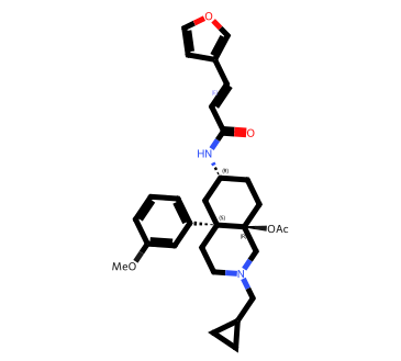 COc1cccc([C@@]23CCN(CC4CC4)C[C@@]2(OC(C)=O)CC[C@@H](NC(=O)/C=C/c2ccoc2)C3)c1